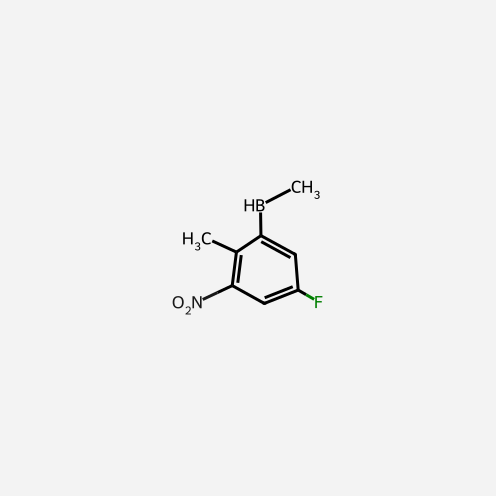 CBc1cc(F)cc([N+](=O)[O-])c1C